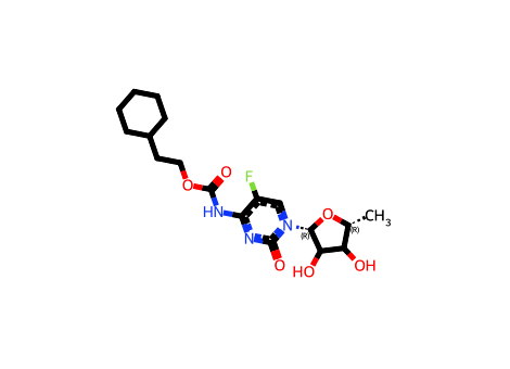 C[C@H]1O[C@@H](n2cc(F)c(NC(=O)OCCC3CCCCC3)nc2=O)C(O)C1O